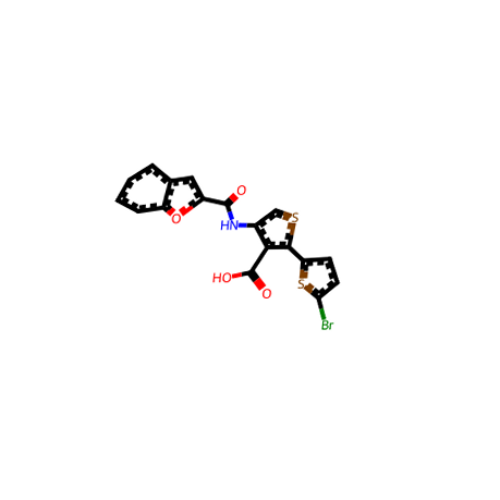 O=C(Nc1csc(-c2ccc(Br)s2)c1C(=O)O)c1cc2ccccc2o1